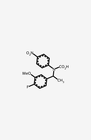 COc1cc(C(C)N(C(=O)O)c2ccc([N+](=O)[O-])cc2)ccc1F